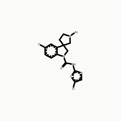 CC(=O)N1CCC2(C1)CN(C(=O)Nc1ncc(Cl)s1)c1ccc(F)cc12